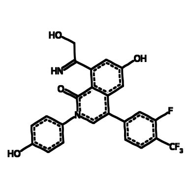 N=C(CO)c1cc(O)cc2c(-c3ccc(C(F)(F)F)c(F)c3)cn(-c3ccc(O)cc3)c(=O)c12